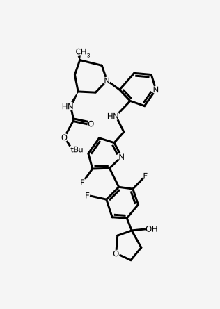 C[C@@H]1C[C@H](NC(=O)OC(C)(C)C)CN(c2ccncc2NCc2ccc(F)c(-c3c(F)cc(C4(O)CCOC4)cc3F)n2)C1